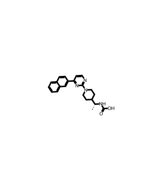 C[C@@H](NC(=O)O)C1CCN(c2nccc(-c3ccc4ccccc4c3)n2)CC1